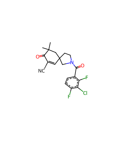 CC1(C)CC2(C=C(C#N)C1=O)CCN(C(=O)c1ccc(F)c(Cl)c1F)C2